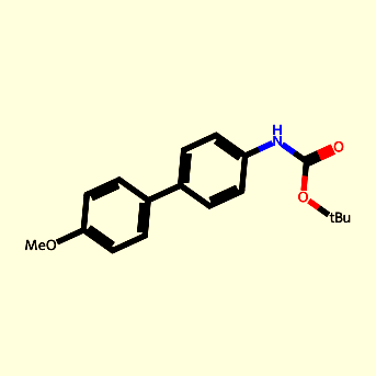 COc1ccc(-c2ccc(NC(=O)OC(C)(C)C)cc2)cc1